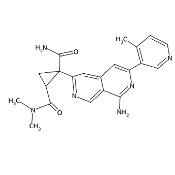 Cc1ccncc1-c1cc2cc(C3(C(N)=O)CC3C(=O)N(C)C)ncc2c(N)n1